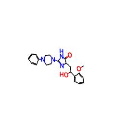 COc1ccccc1C(O)CC1N=C(N2CCN(c3ccccc3)CC2)NC1=O